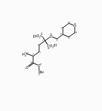 CCOC(=O)C(CCC(N)C(=O)OC(C)(C)C)(OCC1CCOCC1)C(=O)OCC